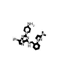 CC(C)c1cnc2c(NCc3ccccc3-n3ccc(N(C)C)n3)nc(N3CCC(N)CC3)nn12